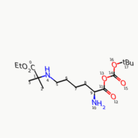 CCOC(=O)C(C)(C)NCCCC[C@H](N)C(=O)OC(=O)OC(C)(C)C